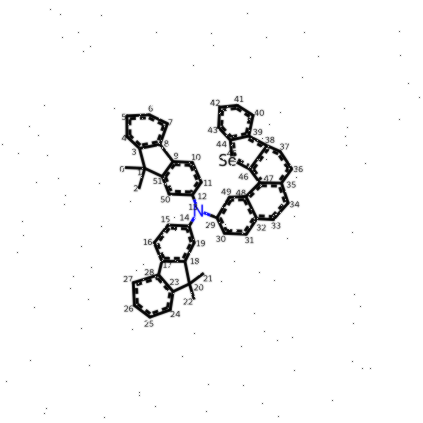 CC1(C)c2ccccc2-c2ccc(N(c3ccc4c(c3)C(C)(C)c3ccccc3-4)c3ccc4ccc5ccc6c7ccccc7[se]c6c5c4c3)cc21